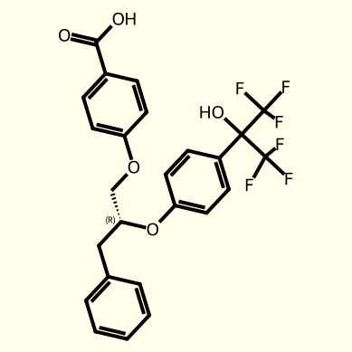 O=C(O)c1ccc(OC[C@@H](Cc2ccccc2)Oc2ccc(C(O)(C(F)(F)F)C(F)(F)F)cc2)cc1